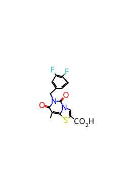 Cc1c(=O)n(Cc2ccc(F)c(F)c2)c(=O)n2cc(C(=O)O)sc12